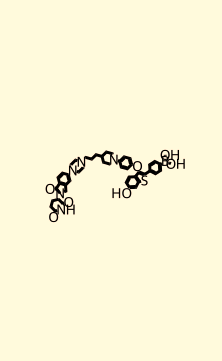 O=C1CCC(N2Cc3cc(N4CCN(CCCC5CCN(c6ccc(Oc7c(-c8ccc(B(O)O)cc8)sc8cc(O)ccc78)cc6)CC5)CC4)ccc3C2=O)C(=O)N1